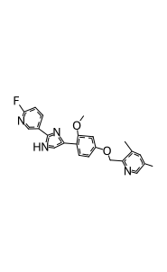 COc1cc(OCc2ncc(C)cc2C)ccc1-c1c[nH]c(-c2ccc(F)nc2)n1